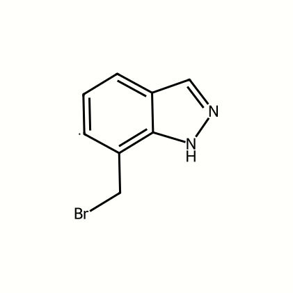 BrCc1[c]ccc2cn[nH]c12